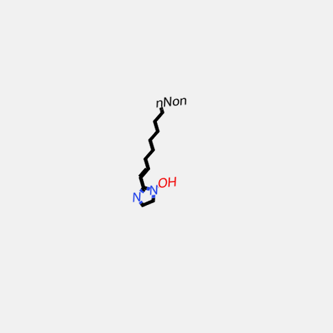 CCCCCCCCCCCCCCCC=CC1=NCCN1O